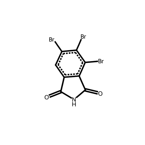 O=C1NC(=O)c2c1cc(Br)c(Br)c2Br